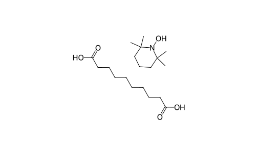 CC1(C)CCCC(C)(C)N1O.O=C(O)CCCCCCCCC(=O)O